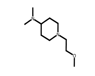 COCCN1CCC(N(C)C)CC1